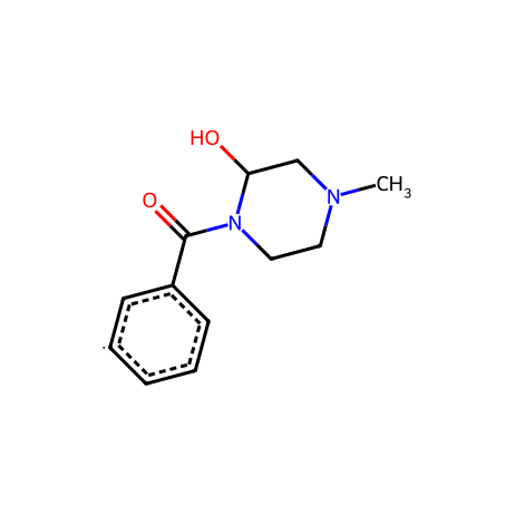 CN1CCN(C(=O)c2c[c]ccc2)C(O)C1